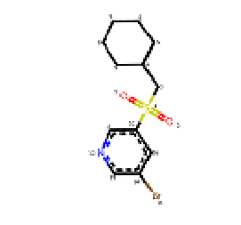 O=S(=O)(CC1CCCCC1)c1cncc(Br)c1